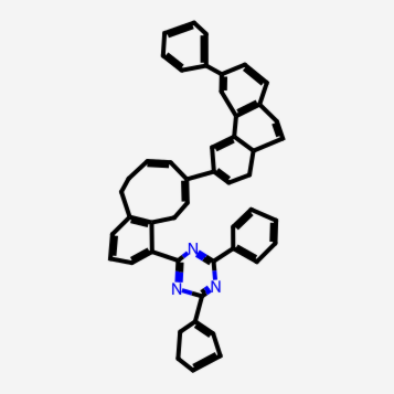 C1=CCCC(c2nc(-c3ccccc3)nc(-c3cccc4c3C/C=C(C3=CCC5C=Cc6ccc(-c7ccccc7)cc6C5=C3)\C=C/CC4)n2)=C1